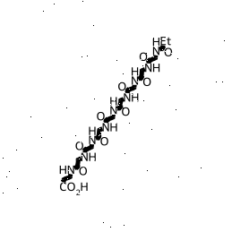 CCC(=O)NCC(=O)NCC(=O)NCC(=O)NCC(=O)NCC(=O)NCC(=O)NCC(=O)NCC(=O)NCCC(=O)O